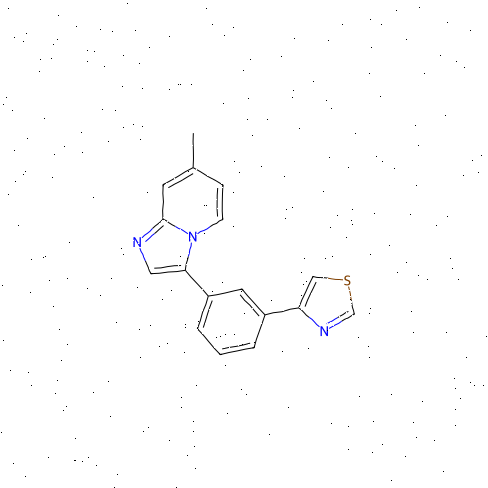 Cc1ccn2c(-c3cccc(-c4cscn4)c3)cnc2c1